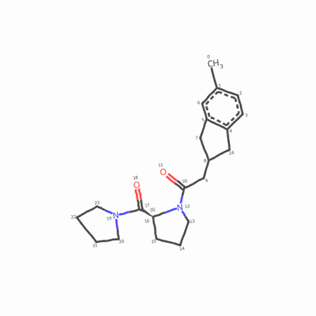 Cc1ccc2c(c1)CC(CC(=O)N1CCC[C@H]1C(=O)N1CCCC1)C2